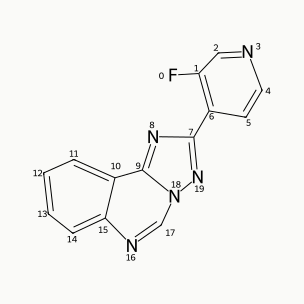 Fc1cnccc1-c1nc2c3ccccc3ncn2n1